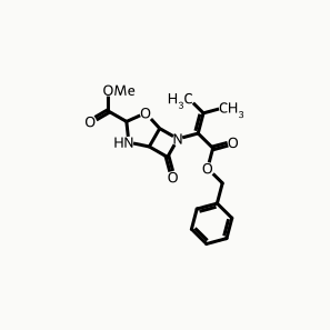 COC(=O)C1NC2C(=O)N(C(C(=O)OCc3ccccc3)=C(C)C)C2O1